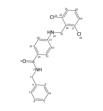 O=C(NCc1ccccc1)c1ccc(NCc2c(Cl)cccc2Cl)cc1